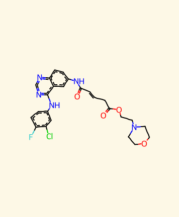 O=C(C=CCC(=O)OCCN1CCOCC1)Nc1ccc2ncnc(Nc3ccc(F)c(Cl)c3)c2c1